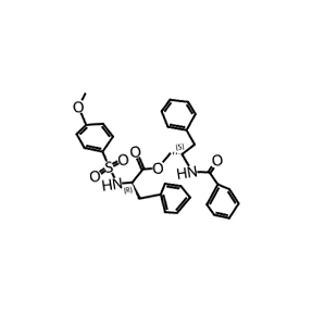 COc1ccc(S(=O)(=O)N[C@H](Cc2ccccc2)C(=O)OC[C@H](Cc2ccccc2)NC(=O)c2ccccc2)cc1